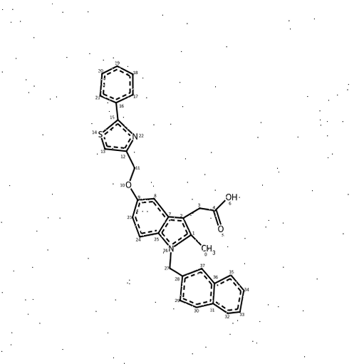 Cc1c(CC(=O)O)c2cc(OCc3csc(-c4ccccc4)n3)ccc2n1Cc1ccc2ccccc2c1